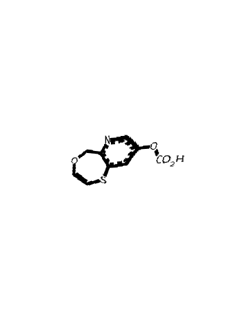 O=C(O)Oc1cnc2c(c1)SC=COC2